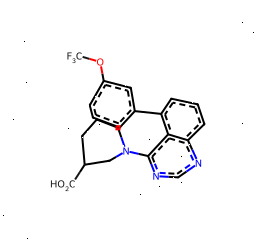 O=C(O)C1CCCN(c2ncnc3cccc(-c4cccc(OC(F)(F)F)c4)c23)C1